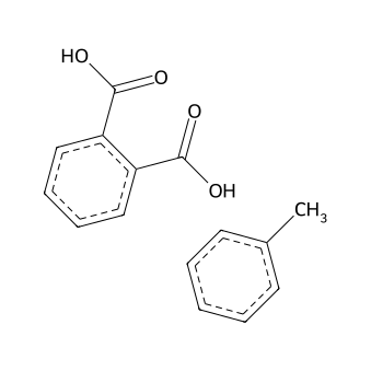 Cc1ccccc1.O=C(O)c1ccccc1C(=O)O